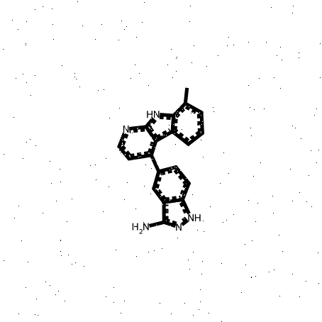 Cc1cccc2c1[nH]c1nccc(-c3ccc4[nH]nc(N)c4c3)c12